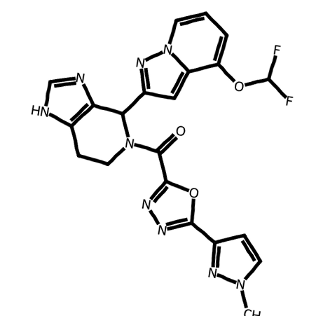 Cn1ccc(-c2nnc(C(=O)N3CCc4[nH]cnc4C3c3cc4c(OC(F)F)cccn4n3)o2)n1